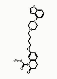 CCCCCC(=O)N1C(=O)CCc2ccc(OCCCCN3CCN(c4cccc5sccc45)CC3)cc21